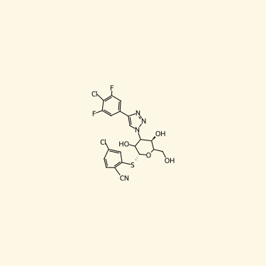 N#Cc1ccc(Cl)cc1S[C@H]1OC(CO)[C@H](O)C(n2cc(-c3cc(F)c(Cl)c(F)c3)nn2)C1O